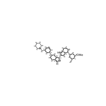 COc1cc(F)cc(-c2nccc3[nH]c(-c4n[nH]c5ccc(-c6cncc(CN7CCCCC7)c6)cc45)cc23)c1